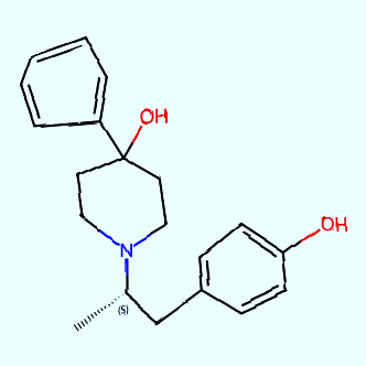 C[C@@H](Cc1ccc(O)cc1)N1CCC(O)(c2ccccc2)CC1